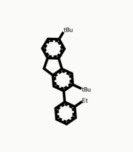 CCc1ccccc1-c1cc2c(cc1C(C)(C)C)-c1cc(C(C)(C)C)ccc1C2